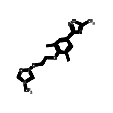 Cc1cc(-c2noc(C(F)(F)F)n2)cc(C)c1OCCON1CN(C(F)(F)F)CO1